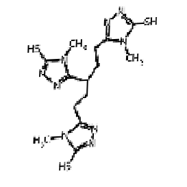 Cn1c(S)nnc1CCC(CCc1nnc(S)n1C)c1nnc(S)n1C